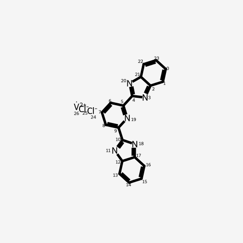 C1=CC2=NC(c3cccc(C4=NC5C=CC=CC5=N4)n3)=NC2C=C1.[Cl-].[Cl-].[V+2]